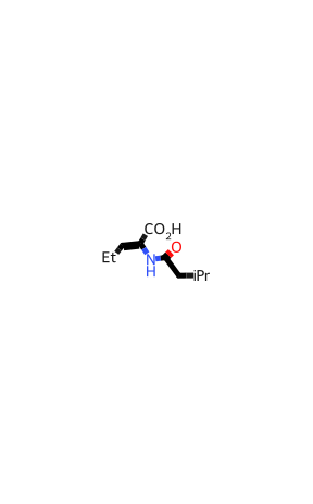 CC/C=C(\NC(=O)CC(C)C)C(=O)O